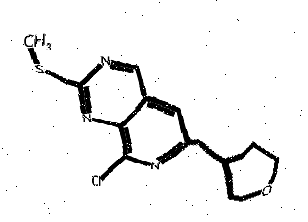 CSc1ncc2cc(C3CCOC3)nc(Cl)c2n1